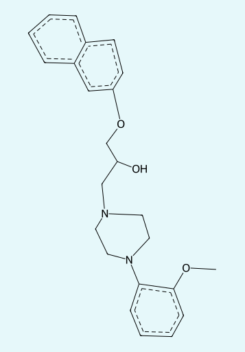 COc1ccccc1N1CCN(CC(O)COc2ccc3ccccc3c2)CC1